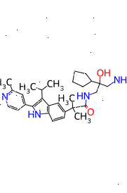 Cc1cc(-c2[nH]c3ccc(C(C)(C)C(=O)NCC(O)(CN)C4CCCC4)cc3c2C(C)C)ccn1